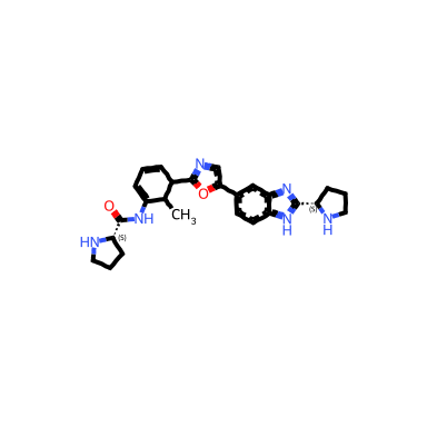 CC1C(NC(=O)[C@@H]2CCCN2)=CC=CC1c1ncc(-c2ccc3[nH]c([C@@H]4CCCN4)nc3c2)o1